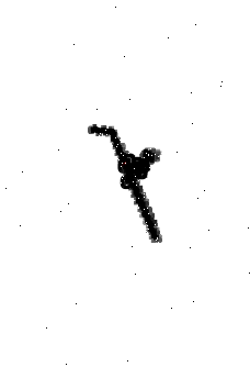 CCCCC/C=C\CCCCCCCC(=O)O[C@H](COC(=O)CCCCCCCCCCCCCCCCC)COP(=O)([O-])OCC[N+](C)(C)C